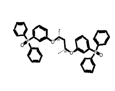 C[C@H](C[C@@H](C)Oc1cccc(P(=O)(c2ccccc2)c2ccccc2)c1)Oc1cccc(P(=O)(c2ccccc2)c2ccccc2)c1